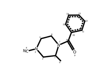 CC1CN(C#N)CCN1C(=O)c1ccccc1